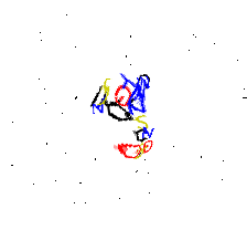 CS(=O)(=O)c1ccc(Sc2ccc(-c3nccs3)c3oc(N4CC5CC(C4)N5)nc23)nc1